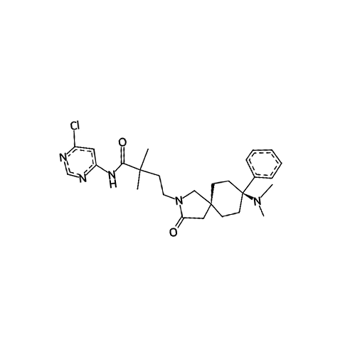 CN(C)[C@]1(c2ccccc2)CC[C@@]2(CC1)CC(=O)N(CCC(C)(C)C(=O)Nc1cc(Cl)ncn1)C2